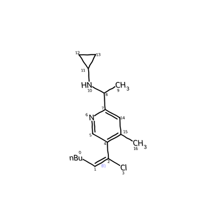 CCCC/C=C(/Cl)c1cnc(C(C)NC2CC2)cc1C